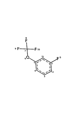 Fc1[c]ccc(OC(F)(F)F)c1